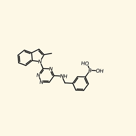 Cc1cc2ccccc2n1-c1nncc(NCc2cccc(B(O)O)c2)n1